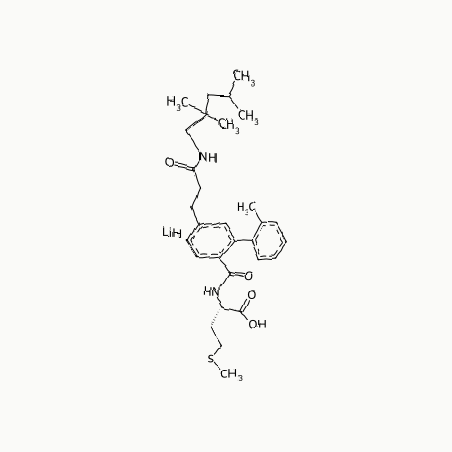 CSCC[C@H](NC(=O)c1ccc(CCC(=O)NCC(C)(C)CC(C)C)cc1-c1ccccc1C)C(=O)O.[LiH]